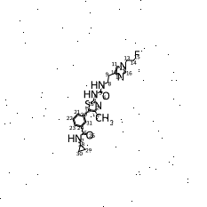 Cc1nc(NC(=O)NCCc2cn(CCF)cn2)sc1-c1cccc(C(=O)NC2CC2)c1